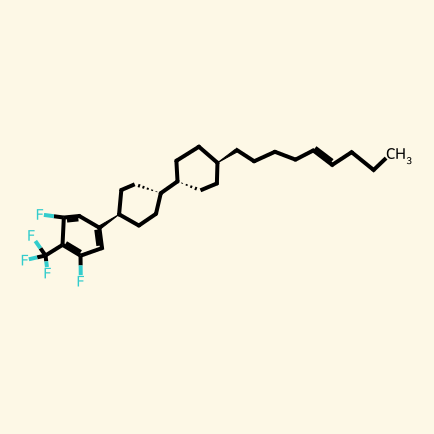 CCC/C=C/CCCC[C@H]1CC[C@H]([C@H]2CC[C@H](c3cc(F)c(C(F)(F)F)c(F)c3)CC2)CC1